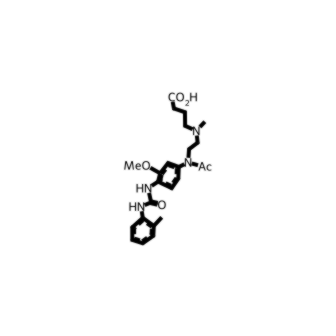 COc1cc(N(CCN(C)CCCC(=O)O)C(C)=O)ccc1NC(=O)Nc1ccccc1C